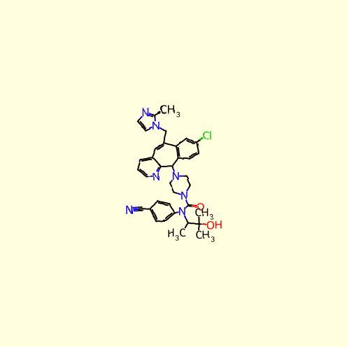 Cc1nccn1CC1=Cc2cccnc2C(N2CCN(C(=O)N(c3ccc(C#N)cc3)C(C)C(C)(C)O)CC2)c2ccc(Cl)cc21